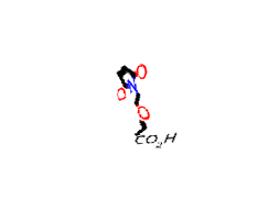 O=C(O)CCCOCCN1C(=O)C=CC1=O